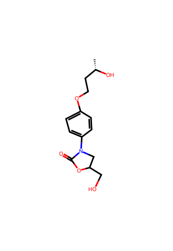 C[C@H](O)CCOc1ccc(N2CC(CO)OC2=O)cc1